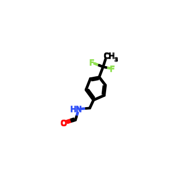 CC(F)(F)c1ccc(CNC=O)cc1